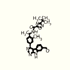 Cc1cc(-c2ncnc3[nH]c4cc(C=O)ccc4c23)ccc1[C@@H](C)NC(=O)c1nc(C(C)(C)C)no1